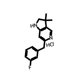 CC1(C)CNc2cc(Cc3cccc(F)c3)ncc21.Cl